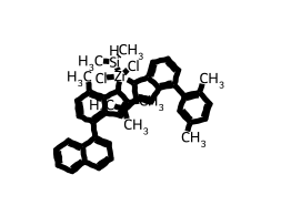 CC1=Cc2c(-c3cccc4ccccc34)ccc(C)c2[CH]1[Zr]([Cl])([Cl])([CH]1C(C(C)C)=Cc2c(-c3cc(C)ccc3C)cccc21)[SiH](C)C